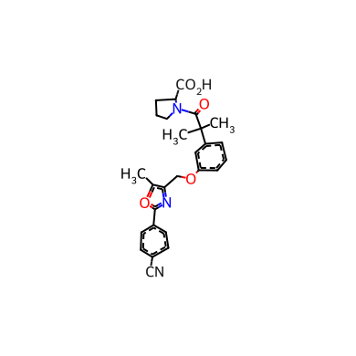 Cc1oc(-c2ccc(C#N)cc2)nc1COc1cccc(C(C)(C)C(=O)N2CCCC2C(=O)O)c1